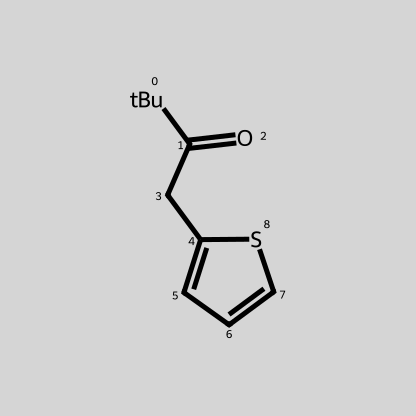 CC(C)(C)C(=O)Cc1cccs1